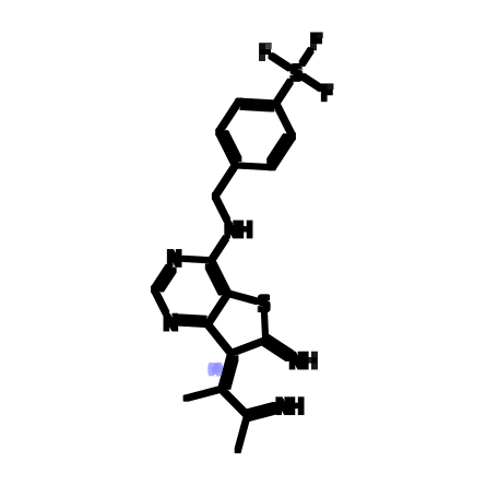 CC(=N)/C(C)=C1\C(=N)Sc2c(NCc3ccc(S(F)(F)F)cc3)ncnc21